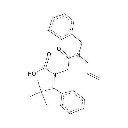 C=CCN(Cc1ccccc1)C(=O)CN(C(=O)O)C(c1ccccc1)C(C)(C)C